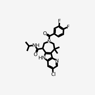 CC(C)NC(=O)C1CN(C(=O)c2ccc(F)c(F)c2)CC(C)(C)c2c1[nH]c1cc(Cl)cnc21